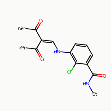 CCCC(=O)C(=CNc1cccc(C(=O)NCC)c1Cl)C(=O)CCC